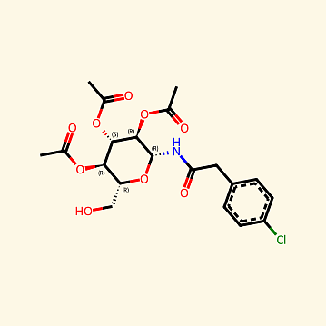 CC(=O)O[C@@H]1[C@@H](OC(C)=O)[C@H](NC(=O)Cc2ccc(Cl)cc2)O[C@H](CO)[C@H]1OC(C)=O